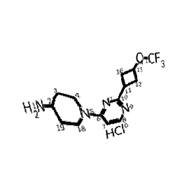 Cl.NC1CCN(c2ccnc(C3CC(OC(F)(F)F)C3)n2)CC1